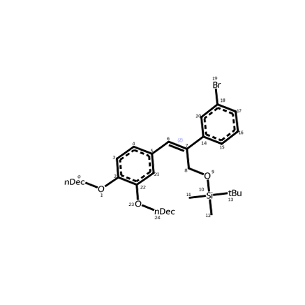 CCCCCCCCCCOc1ccc(/C=C(\CO[Si](C)(C)C(C)(C)C)c2cccc(Br)c2)cc1OCCCCCCCCCC